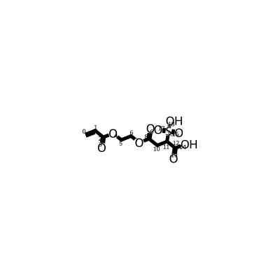 C=CC(=O)OCCOC(=O)CC(C(=O)O)S(=O)(=O)O